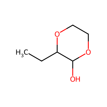 CCC1OCCOC1O